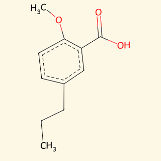 CCCc1ccc(OC)c(C(=O)O)c1